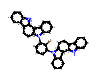 Brc1c(-n2c3ccccc3c3c4[nH]c5ccccc5c4ccc32)cccc1-n1c2ccccc2c2c3[nH]c4ccccc4c3ccc21